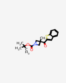 CC(C)(C)OC(=O)N1CC(C)(C(=O)c2cc3ccccc3s2)C1